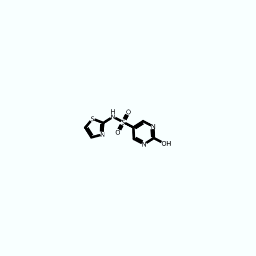 O=S(=O)(Nc1nccs1)c1cnc(O)nc1